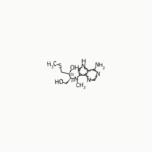 CSC[C@@H](O)[C@H](CO)N(C)c1c[nH]c2c(N)ncnc12